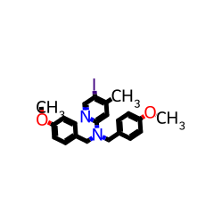 COc1ccc(CN(Cc2ccc(OC)cc2)c2cc(C)c(I)cn2)cc1